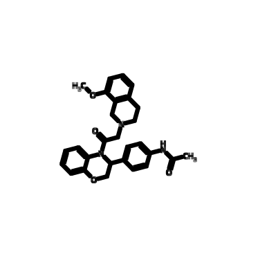 COc1cccc2c1CN(CC(=O)N1c3ccccc3OCC1c1ccc(NC(C)=O)cc1)CC2